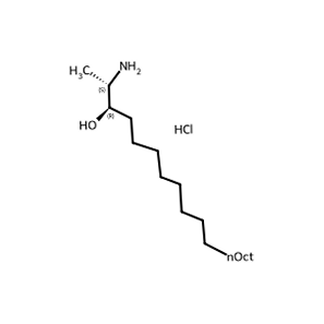 CCCCCCCCCCCCCCCC[C@@H](O)[C@H](C)N.Cl